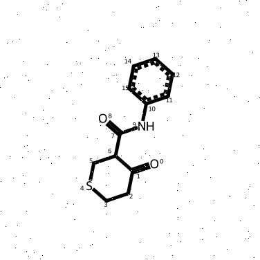 O=C1CCSCC1C(=O)Nc1ccccc1